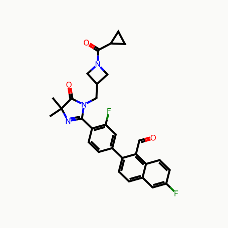 CC1(C)N=C(c2ccc(-c3ccc4cc(F)ccc4c3C=O)cc2F)N(CC2CN(C(=O)C3CC3)C2)C1=O